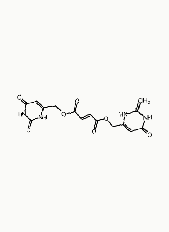 C=C1NC(=O)C=C(COC(=O)/C=C/C(=O)OCc2cc(=O)[nH]c(=O)[nH]2)N1